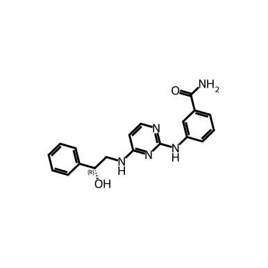 NC(=O)c1cccc(Nc2nccc(NC[C@H](O)c3ccccc3)n2)c1